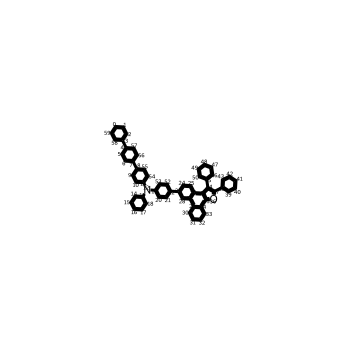 c1ccc(-c2ccc(-c3ccc(N(c4ccccc4)c4ccc(-c5ccc6c(c5)c5ccccc5c5oc(-c7ccccc7)c(-c7ccccc7)c65)cc4)cc3)cc2)cc1